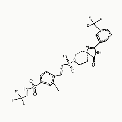 Cc1cc(S(=O)(=O)NCC(F)(F)F)ccc1/C=C/S(=O)(=O)N1CCC2(CC1)N=C(c1cccc(C(F)(F)F)c1)NC2=O